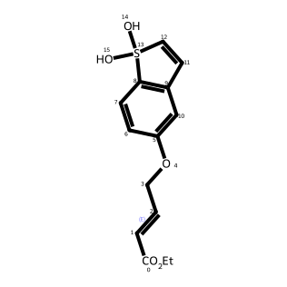 CCOC(=O)/C=C/COc1ccc2c(c1)C=CS2(O)O